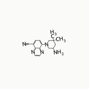 CC1(C)CC(N)CN(c2ccc(C#N)c3nccnc23)C1